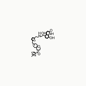 Cc1nc(C(=O)N2CCOC3(CCN(Cc4ccc(CCNC[C@H](O)c5ccc(O)c6[nH]c(=O)ccc56)s4)CC3)C2)cs1